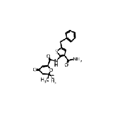 CC1(C)CC(=O)C=C(C(=O)Nc2sc(Cc3ccccc3)cc2C(N)=O)O1